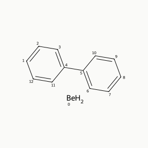 [BeH2].c1ccc(-c2ccccc2)cc1